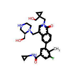 Cc1c(F)cc(C(=O)NC2CC2)cc1-c1ccc2c(=O)n(CC3(CO)CC3)cc(CN3CCNC[C@@H]3CO)c2c1